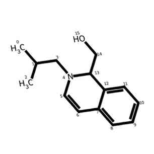 C[C](C)CN1C=Cc2ccccc2C1CO